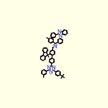 C=N/C(=N\C(=N/Cc1ccc(C(C)(C)C)cc1)c1ccc(-c2ccc(C/N=C(\c3ccc(C)cc3)c3cccc(-n4c(-c5ccccc5)nc5ccccc54)c3)cc2C2(C)C3=CCCC=C3c3ccccc32)cc1)c1cccc(C)c1